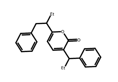 CCC(Cc1ccccc1)c1ccc(C(CC)c2ccccc2)c(=O)o1